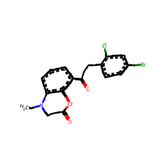 CN1CC(=O)Oc2c(C(=O)Cc3ccc(Br)cc3Cl)cccc21